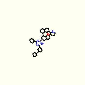 c1ccc(C2=NC(c3cc(-c4cccc5ccc6c7ncccc7oc6c45)c4ccccc4c3)NC(c3cccc(-c4ccccc4)c3)=N2)cc1